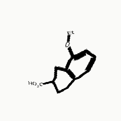 CCOc1cccc2c1CC(C(=O)O)CC2